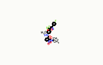 Cc1cc(C2(C(F)(F)F)CC(c3ccc(F)cc3)=NO2)ccc1NC(=O)c1cccc([N+](=O)[O-])c1C(=O)NC(C)C